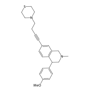 COc1ccc(C2CN(C)Cc3cc(C#CCCN4CCSCC4)ccc32)cc1